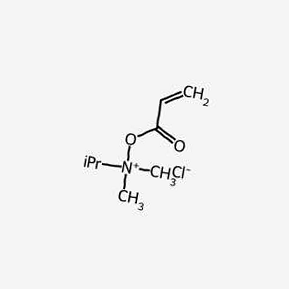 C=CC(=O)O[N+](C)(C)C(C)C.[Cl-]